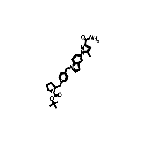 Cc1cc(C(N)=O)nn1-c1ccc2c(ccn2Cc2ccc(CC3CCCN3C(=O)OC(C)(C)C)cc2)c1